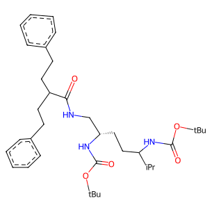 CC(C)C(CC[C@@H](CNC(=O)C(CCc1ccccc1)CCc1ccccc1)NC(=O)OC(C)(C)C)NC(=O)OC(C)(C)C